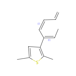 C=C/C=C\C(=C/C)c1cc(C)sc1C